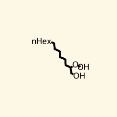 CCCCCCCCCCCCC(CO)OO